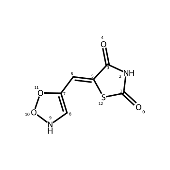 O=C1NC(=O)C(=CC2=CNOO2)S1